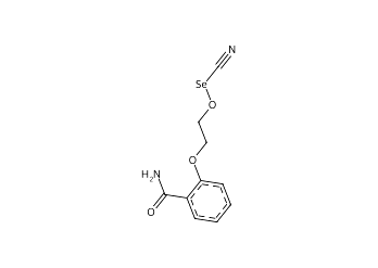 N#C[Se]OCCOc1ccccc1C(N)=O